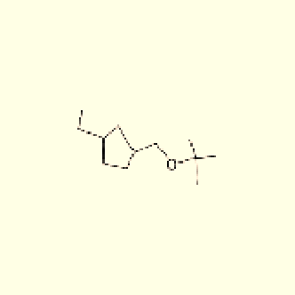 CCC1CCC(COC(C)(C)C)C1